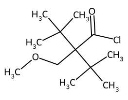 COCC(C(=O)Cl)(C(C)(C)C)C(C)(C)C